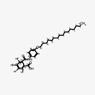 CCCCCCCCCCCCCCCCOc1ccc(NC(=O)c2c(F)c(F)c(F)c(F)c2C(=O)O)cc1